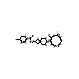 Cc1ccc(C(=O)NC2CC3(CCC(c4ccncccc(F)cc4C)CC3)C2)cc1